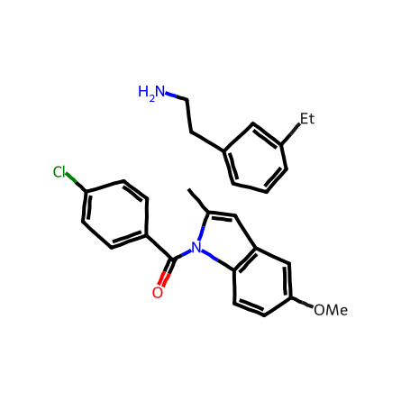 CCc1cccc(CCN)c1.COc1ccc2c(c1)cc(C)n2C(=O)c1ccc(Cl)cc1